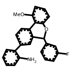 COc1cccc2c1-c1ccc(-c3ccccc3N)cc1C(c1cccc(F)c1)O2